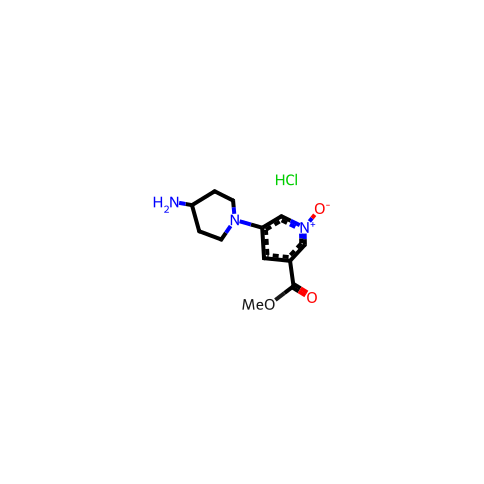 COC(=O)c1cc(N2CCC(N)CC2)c[n+]([O-])c1.Cl